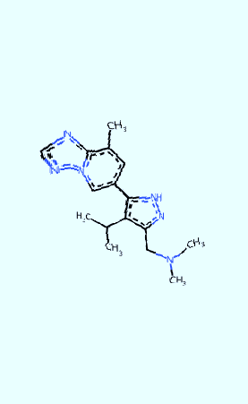 Cc1cc(-c2[nH]nc(CN(C)C)c2C(C)C)cn2ncnc12